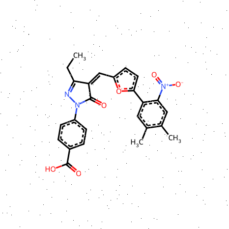 CCC1=NN(c2ccc(C(=O)O)cc2)C(=O)C1=Cc1ccc(-c2cc(C)c(C)cc2[N+](=O)[O-])o1